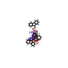 CC(=O)OC(c1ccccc1)(c1ccccc1)C1C=CC=CC1(Cl)NC(=O)[C@H](CC(=O)NC(c1ccccc1)(c1ccccc1)c1ccccc1)NC(=O)OCC1c2ccccc2-c2ccccc21